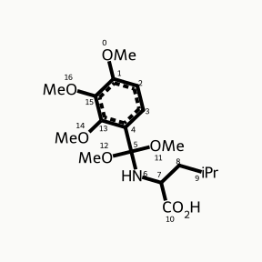 COc1ccc(C(NC(CC(C)C)C(=O)O)(OC)OC)c(OC)c1OC